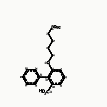 CCCCCCCCCCCCCCOc1cccc(C(=O)O)c1-c1ccccc1